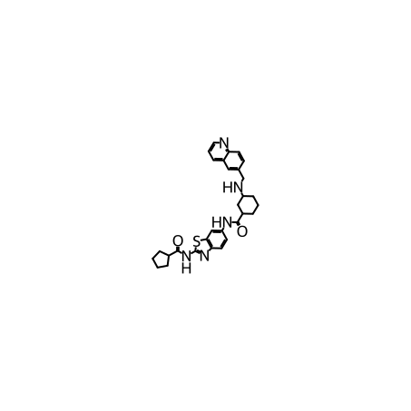 O=C(Nc1ccc2nc(NC(=O)C3CCCC3)sc2c1)C1CCCC(NCc2ccc3ncccc3c2)C1